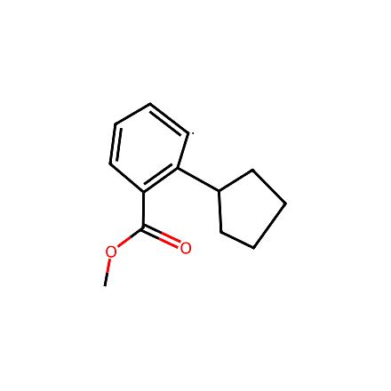 COC(=O)c1ccc[c]c1C1CCCC1